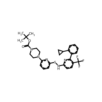 CC(C)(C)OC(=O)N1CCN(c2cccc(SNc3ccc(C(F)(F)F)c(-c4ccccc4C4CC4)n3)n2)CC1